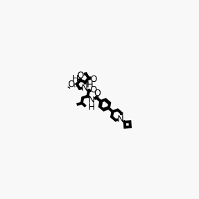 CO[C@H]1CN(C(=O)C(CC(C)C)NC(=O)c2ccc(C3CCN(C4CCC4)CC3)cc2)[C@@H]2C(=O)CO[C@H]12